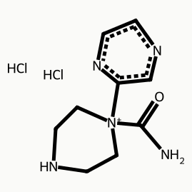 Cl.Cl.NC(=O)[N+]1(c2cnccn2)CCNCC1